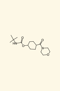 CC(C)(C)NC(=O)OC1CCC(C(=O)N2CCOCC2)CC1